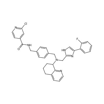 O=C(NCc1ccc(CN(Cc2nc(-c3ccccc3F)c[nH]2)C2CCCc3cccnc32)cc1)c1ccnc(Cl)c1